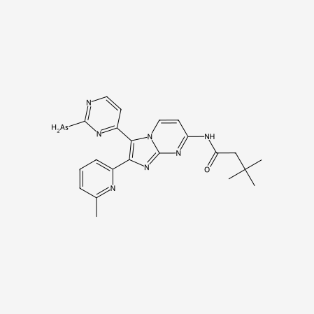 Cc1cccc(-c2nc3nc(NC(=O)CC(C)(C)C)ccn3c2-c2ccnc([AsH2])n2)n1